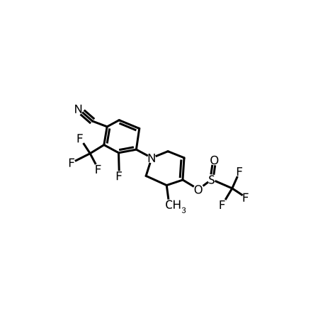 CC1CN(c2ccc(C#N)c(C(F)(F)F)c2F)CC=C1OS(=O)C(F)(F)F